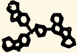 c1ccc2c(c1)oc1cc(N(c3ccc(-c4cc5c6ccccc6oc5c5ccccc45)cc3)c3ccc4sc5ccccc5c4c3)ccc12